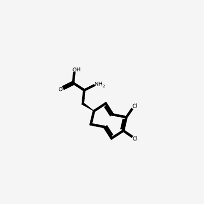 NC(C[C@H]1/C=C/C(Cl)=C(Cl)\C=C\C1)C(=O)O